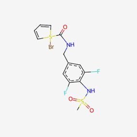 CS(=O)(=O)Nc1c(F)cc(CNC(=O)S2(Br)C=CC=C2)cc1F